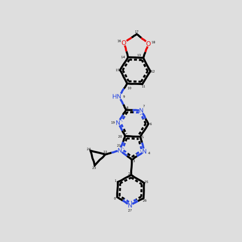 c1cc(-c2nc3cnc(Nc4ccc5c(c4)OCO5)nc3n2C2CC2)ccn1